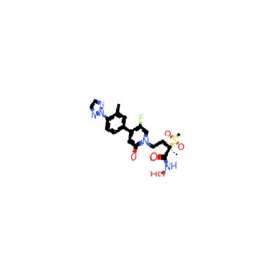 Cc1cc(-c2cc(=O)n(CC[C@](C)(C(=O)NO)S(C)(=O)=O)cc2F)ccc1-n1nccn1